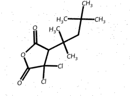 CC(C)(C)CC(C)(C)C1C(=O)OC(=O)C1(Cl)Cl